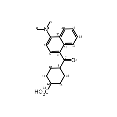 CN(C)c1ccc(C(=O)C2CCC(C(=O)O)CC2)c2ccccc12